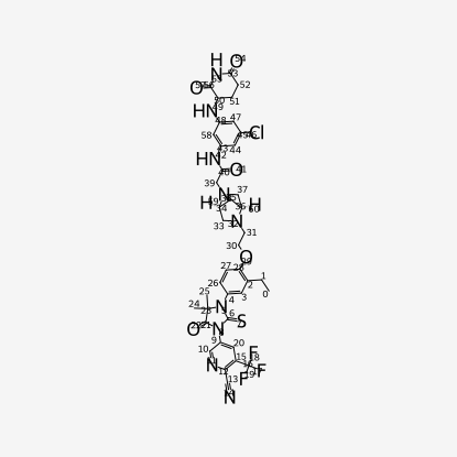 CCc1cc(N2C(=S)N(c3cnc(C#N)c(C(F)(F)F)c3)C(=O)C2(C)C)ccc1OCCN1C[C@@H]2C[C@H]1CN2CC(=O)Nc1cc(Cl)cc(NC2CCC(=O)NC2=O)c1